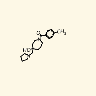 Cc1ccc(C(=O)N2CCCC(O)(CN3CCCC3)CC2)cc1